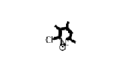 Cc1cc(C)[n+]([O-])c(Cl)c1C